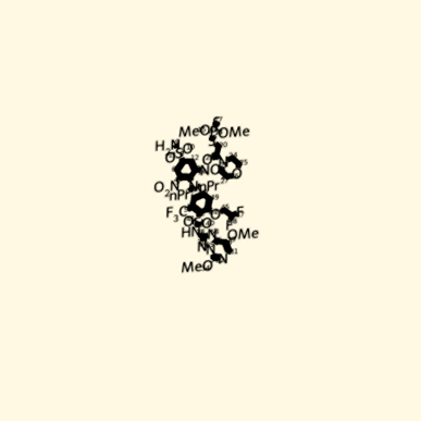 CCCN(CCC)c1c([N+](=O)[O-])cc(S(N)(=O)=O)cc1[N+](=O)[O-].COP(=S)(OC)SCC(=O)N1CCOCC1.COc1cnc(OC)n2nc(NS(=O)(=O)c3c(OCC(F)F)cccc3C(F)(F)F)nc12